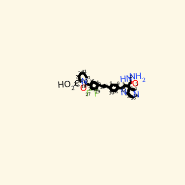 NNC(=O)c1cc(-c2ccc(C#Cc3ccc(C(=O)N4CCCCC4C(=O)O)c(F)c3F)cc2)nc2ccncc12